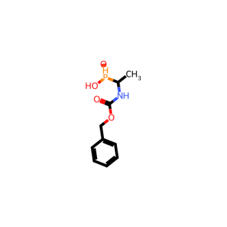 CC(NC(=O)OCc1ccccc1)[PH](=O)O